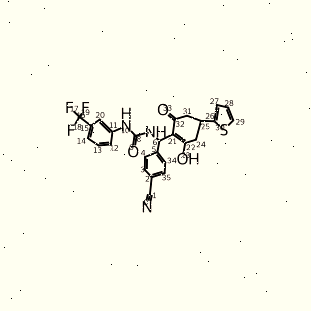 N#Cc1ccc(C(NC(=O)Nc2cccc(C(F)(F)F)c2)C2=C(O)CC(c3cccs3)CC2=O)cc1